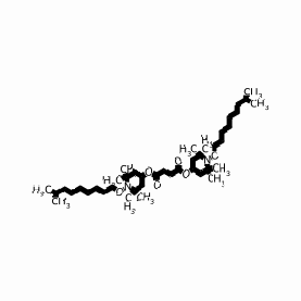 CC(C)CCCCCCCON1C(C)(C)CC(OC(=O)CCC(=O)OC2CC(C)(C)N(OCCCCCCCC(C)C)C(C)(C)C2)CC1(C)C